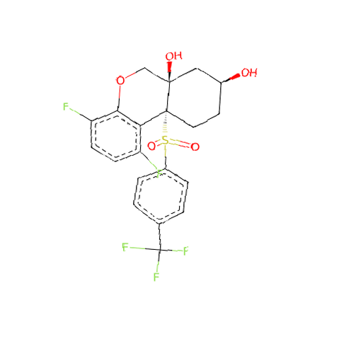 O=S(=O)(c1ccc(C(F)(F)F)cc1)[C@@]12CC[C@H](O)C[C@@]1(O)COc1c(F)ccc(F)c12